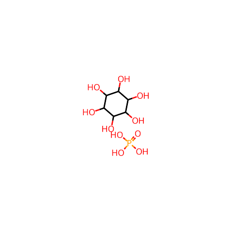 O=P(O)(O)O.OC1C(O)C(O)C(O)C(O)C1O